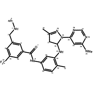 CCCNCc1cc(C(=O)Nc2ccc(C)c(NC3CC(C)=NN3c3cc(NC)ncn3)c2)cc(C(F)(F)F)c1